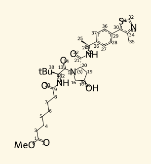 COC(=O)CCCCCCC(=O)N[C@H](C(=O)N1C[C@H](O)C[C@H]1C(=O)N[C@@H](C)c1ccc(-c2scnc2C)cc1)C(C)(C)C